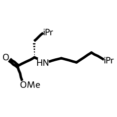 COC(=O)[C@H](CC(C)C)NCCCC(C)C